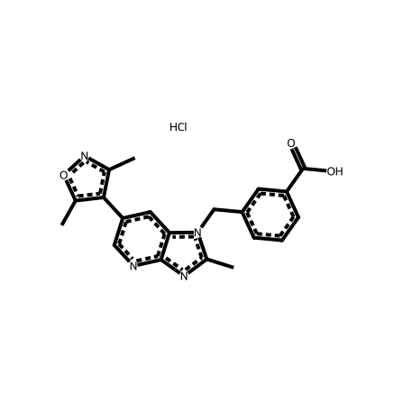 Cc1noc(C)c1-c1cnc2nc(C)n(Cc3cccc(C(=O)O)c3)c2c1.Cl